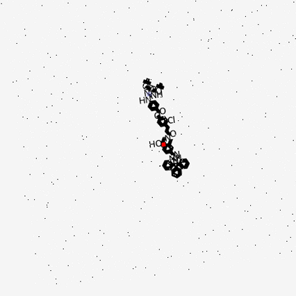 CC(C)(C)OC(=O)/N=C(\NC(=O)OC(C)(C)C)Nc1ccc(C(=O)Oc2ccc(CCC(=O)N(CC(=O)O)Cc3cccc(-c4nnn(C(c5ccccc5)(c5ccccc5)c5ccccc5)n4)c3)c(Cl)c2)cc1